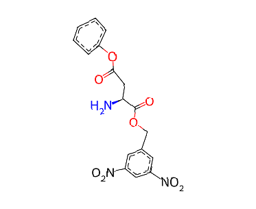 N[C@@H](CC(=O)Oc1ccccc1)C(=O)OCc1cc([N+](=O)[O-])cc([N+](=O)[O-])c1